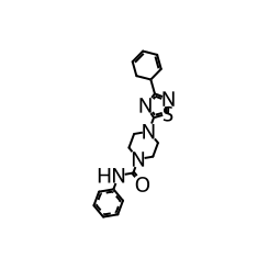 O=C(Nc1ccccc1)N1CCN(c2nc(C3C=CC=CC3)ns2)CC1